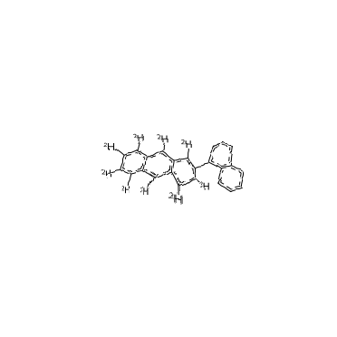 [2H]c1c([2H])c([2H])c2c([2H])c3c([2H])c(-c4cccc5ccccc45)c([2H])c([2H])c3c([2H])c2c1[2H]